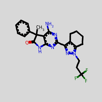 CC1(c2ccccc2)C(=O)Nc2nc(-c3nn(CCC(F)(F)F)c4c3CCCC4)nc(N)c21